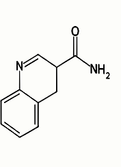 NC(=O)C1C=Nc2ccccc2C1